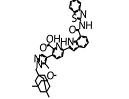 COC12CC3(C)CC(C)(CC(Cn4ncc(-c5ccc(-c6cc7cccc(C(=O)Nc8nc9ccccc9s8)c7[nH]6)nc5C(=O)O)c4C)(C3)C1)C2